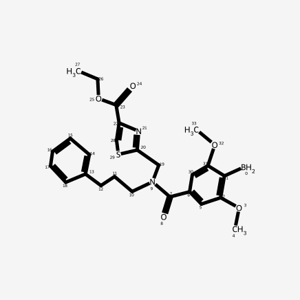 Bc1c(OC)cc(C(=O)N(CCCc2ccccc2)Cc2nc(C(=O)OCC)cs2)cc1OC